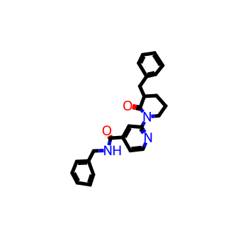 O=C(NCc1ccccc1)c1ccnc(N2CCCC(Cc3ccccc3)C2=O)c1